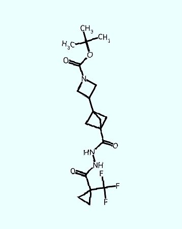 CC(C)(C)OC(=O)N1CC(C23CC(C(=O)NNC(=O)C4(C(F)(F)F)CC4)(C2)C3)C1